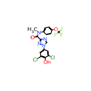 CN(C(=O)c1ncn(-c2cc(Cl)c(O)c(Cl)c2)n1)c1ccc(OC(F)(F)F)cc1